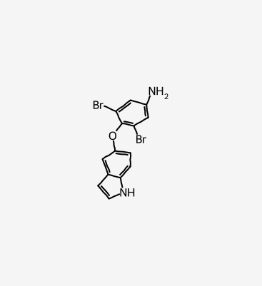 Nc1cc(Br)c(Oc2ccc3[nH]ccc3c2)c(Br)c1